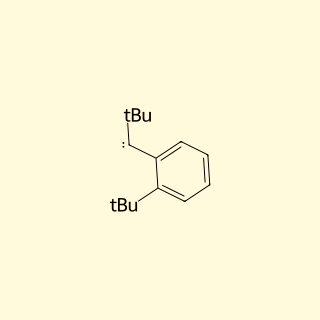 CC(C)(C)[C]c1ccccc1C(C)(C)C